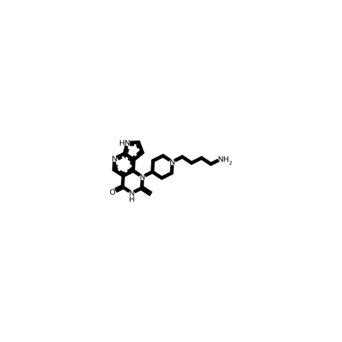 C=C1NC(=O)c2cnc3[nH]ccc3c2N1C1CCN(CCCCN)CC1